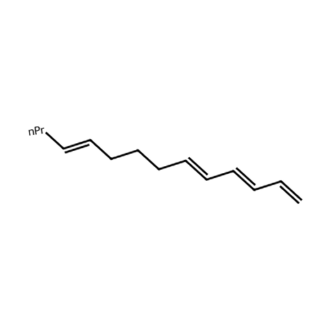 C=C/C=C/C=C/CCC/C=C/CCC